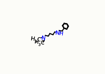 CCN(CC)CCCCCNCCc1ccccc1